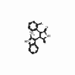 Cc1[nH]c2ccccc2c1C1=C(c2ccccc2Cl)C(=O)NC1=O